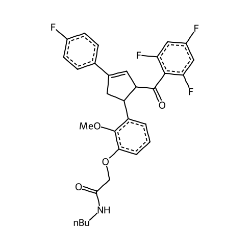 CCCCNC(=O)COc1cccc(C2CC(c3ccc(F)cc3)=CC2C(=O)c2c(F)cc(F)cc2F)c1OC